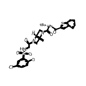 CC(C)(C)[C@H](NC(=O)c1cc2ccccc2s1)C(=O)N1C[C@H]2N(C(=O)CNS(=O)(=O)c3cc(Cl)ccc3Cl)CC21C